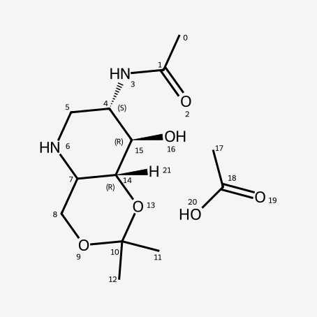 CC(=O)N[C@H]1CNC2COC(C)(C)O[C@H]2[C@@H]1O.CC(=O)O